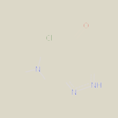 CN(C)C.O=C(Cl)c1cn[nH]c1